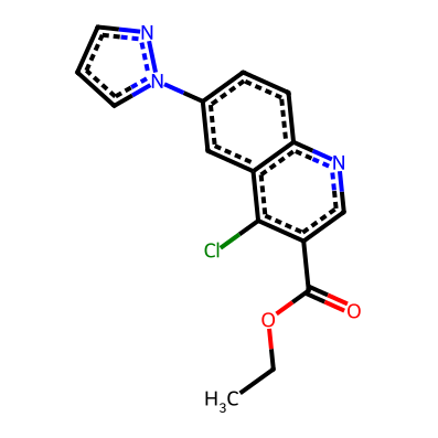 CCOC(=O)c1cnc2ccc(-n3cccn3)cc2c1Cl